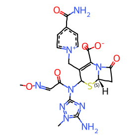 CON=CC(=O)N(c1nc(N)n(C)n1)C1S[C@H]2CC(=O)N2C(C(=O)[O-])=C1C[n+]1ccc(C(N)=O)cc1